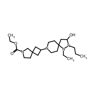 CCCN1C(O)CC2(CCN(C3CC4(CCN(C(=O)OCC)C4)C3)CC2)N1CC